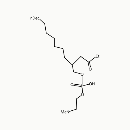 CCCCCCCCCCCCCCCCC(COP(=O)(O)OCCNC)CC(=O)CC